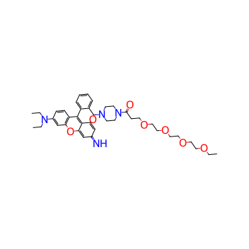 CCOCCOCCOCCOCCC(=O)N1CCN(C(=O)c2ccccc2-c2c3ccc(=N)cc-3oc3cc(N(CC)CC)ccc23)CC1